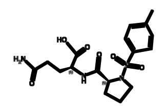 Cc1ccc(S(=O)(=O)N2CCC[C@H]2C(=O)N[C@@H](CCC(N)=O)C(=O)O)cc1